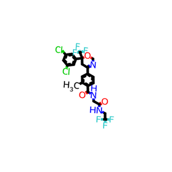 Cc1cc(C2=NCOC(c3cc(Cl)cc(Cl)c3)(C(F)(F)F)C2)ccc1C(=O)NCC(=O)NCC(F)(F)F